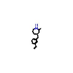 C=Cc1cccc(CC2CCCNC(C)C2)c1